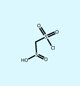 O=S(O)CS(=O)(=O)Cl